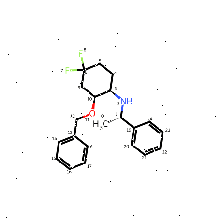 C[C@H](N[C@@H]1CCC(F)(F)C[C@@H]1OCc1ccccc1)c1ccccc1